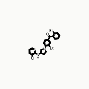 CCc1ccccc1C(=O)c1ccc(N2CCC(Nc3ncccc3Cl)C2)c(CC)c1